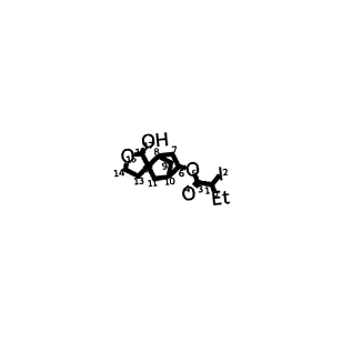 CCC(I)C(=O)OC1CC2CC1CC21CCOC1O